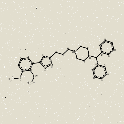 COc1cccc(-c2cc(CCCN3CCN(C(c4ccccc4)c4ccccc4)CC3)on2)c1OC